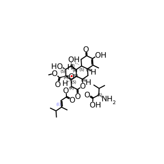 CC(C)[C@H](N)C(=O)O.COC(=O)[C@]12OC[C@]34[C@H]([C@@H](O)[C@@H]1O)[C@@]1(C)CC(=O)C(O)=C(C)[C@@H]1C[C@H]3OC(=O)[C@H](OC(=O)/C=C(\C)C(C)C)[C@@H]24